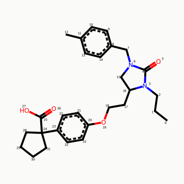 CCCN1C(=O)N(Cc2ccc(C)cc2)CC1CCOc1ccc(C2(C(=O)O)CCCC2)cc1